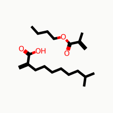 C=C(C)C(=O)OCCCC.C=C(CCCCCCC(C)C)C(=O)O